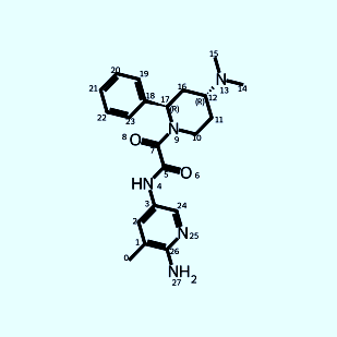 Cc1cc(NC(=O)C(=O)N2CC[C@@H](N(C)C)C[C@@H]2c2ccccc2)cnc1N